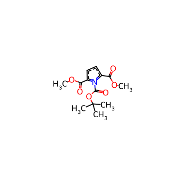 COC(=O)c1ccc(C(=O)OC)n1C(=O)OC(C)(C)C